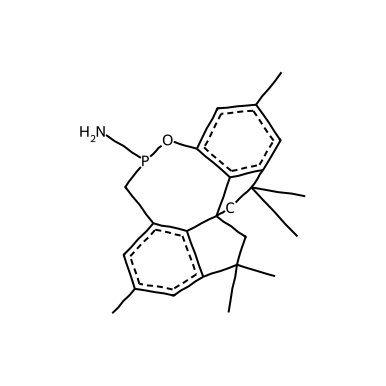 Cc1cc2c3c(c1)C(C)(C)CC31CC(C)(C)c3cc(C)cc(c31)OP(N)C2